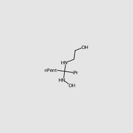 CCCCCC(NO)(NCCO)C(C)C